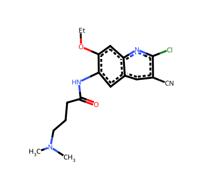 CCOc1cc2nc(Cl)c(C#N)cc2cc1NC(=O)CCCN(C)C